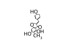 Cc1c(O)cc2c(c1O)C(=O)/C(=C/C1=CCC(O)C=C1)CO2